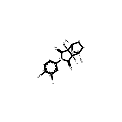 O=C1[C@@H]2[C@H](C(=O)N1c1ccc(F)c(F)c1)[C@H]1CC[C@@H]2O1